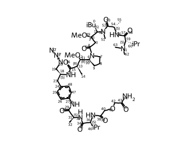 CC[C@H](C)C([C@@H](CC(=O)N1CCC[C@H]1[C@H](OC)[C@@H](C)C(=O)N[C@H](CN=[N+]=[N-])Cc1ccc(NC(=O)[C@H](C)NC(=O)[C@@H](NC(=O)COCC(N)=O)C(C)C)cc1)OC)N(C)C(=O)[C@H](C)NC(=O)[C@H](C(C)C)N(C)C